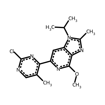 COc1nc(-c2nc(Cl)ncc2C)cc2c1nc(C)n2C(C)C